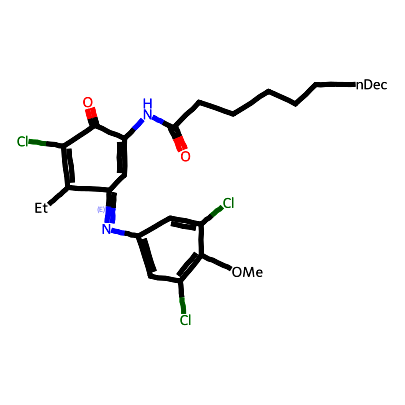 CCCCCCCCCCCCCCCC(=O)NC1=C/C(=N\c2cc(Cl)c(OC)c(Cl)c2)C(CC)=C(Cl)C1=O